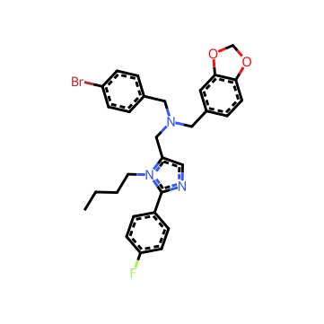 CCCCn1c(CN(Cc2ccc(Br)cc2)Cc2ccc3c(c2)OCO3)cnc1-c1ccc(F)cc1